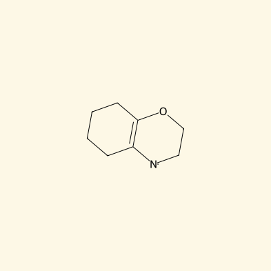 C1CCC2=C(C1)[N]CCO2